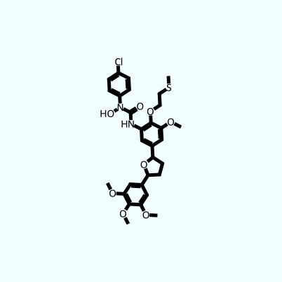 COc1cc(C2CCC(c3cc(OC)c(OC)c(OC)c3)O2)cc(NC(=O)N(O)c2ccc(Cl)cc2)c1OCCSC